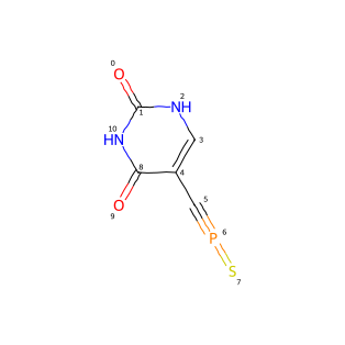 O=c1[nH]cc(C#P=S)c(=O)[nH]1